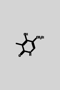 CCOC(=O)c1c[nH]c(=O)c(C)c1O